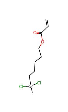 C=CC(=O)OCCCCC[Si](C)(Cl)Cl